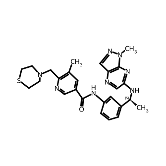 Cc1cc(C(=O)Nc2cccc([C@H](C)Nc3cnc4cnn(C)c4n3)c2)cnc1CN1CCSCC1